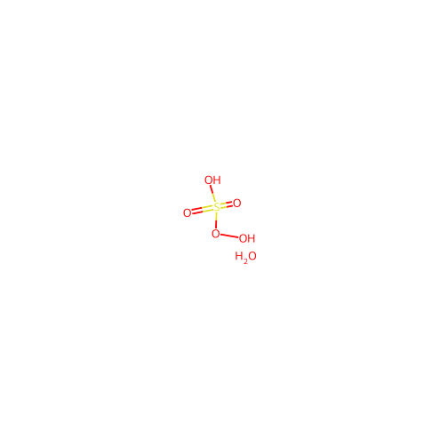 O.O=S(=O)(O)OO